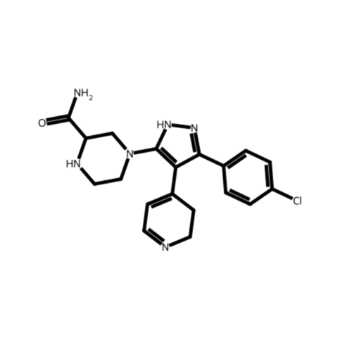 NC(=O)C1CN(c2[nH]nc(-c3ccc(Cl)cc3)c2C2=CC=NCC2)CCN1